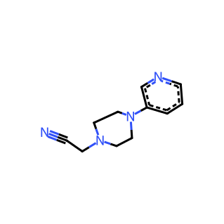 N#CCN1CCN(c2cccnc2)CC1